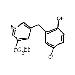 CCOC(=O)c1cncc(Cc2cc(Cl)ccc2O)c1